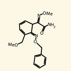 COCC1=CC=CC(C(=NOC)C(N)=O)C1=NOCc1ccccc1